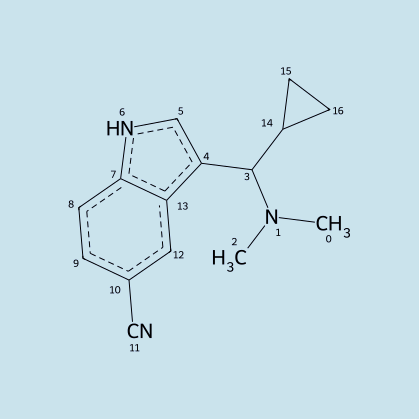 CN(C)C(c1c[nH]c2ccc(C#N)cc12)C1CC1